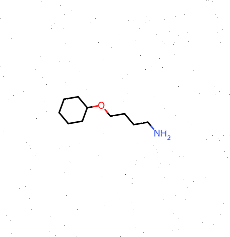 NCCCCOC1CCCCC1